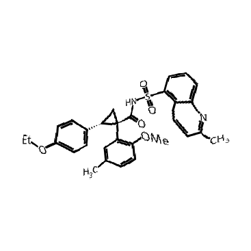 CCOc1ccc([C@@H]2C[C@]2(C(=O)NS(=O)(=O)c2cccc3nc(C)ccc23)c2cc(C)ccc2OC)cc1